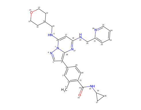 Cc1cc(-c2cnn3c(NCC4CCOCC4)cc(NCc4ccccn4)nc23)ccc1C(=O)NC1CC1